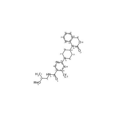 COC(C)CNC(=O)c1cnc(N2CCC(N3C(=O)OCc4ccccc43)CC2)nc1C(F)(F)F